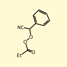 CCC(=O)OOC(C#N)c1ccccc1